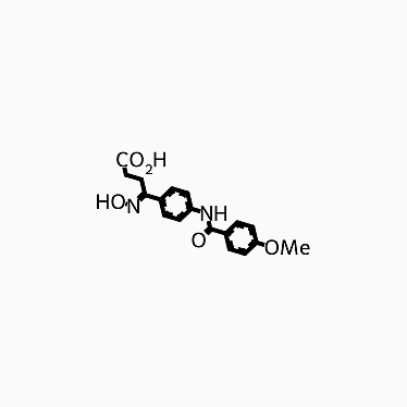 COc1ccc(C(=O)Nc2ccc(C(CCC(=O)O)=NO)cc2)cc1